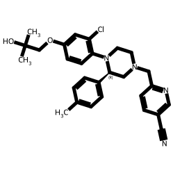 Cc1ccc([C@@H]2CN(Cc3ccc(C#N)cn3)CCN2c2ccc(OCC(C)(C)O)cc2Cl)cc1